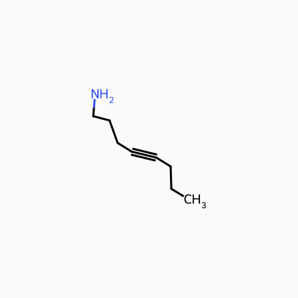 CCCC#CCCCN